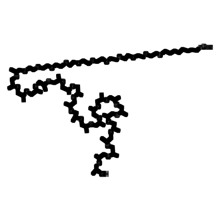 CCCCCCCCCCCCCCCCCCOCCOCCOCCOCCOCCOCCOCCOCCOCCOCCOCC(C)OCC(C)OCC(C)OCC(C)OCC(C)OCC(C)OCC(C)OCC(C)OCC(C)OCC(C)OCC(C)OCC(C)OCC(C)OCC(C)OCC(C)OCC(C)OCC(C)OCC(C)OCC(C)OCC(C)OCC(C)OCC(C)O